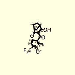 Cc1c(C(=O)C2=C(O)C3CCC(C3)C2=O)ccc(C(F)(F)F)[n+]1[O-]